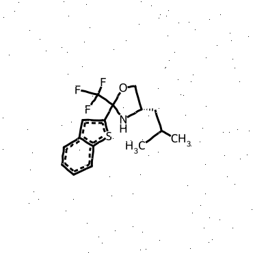 CC(C)C[C@H]1COC(c2cc3ccccc3s2)(C(F)(F)F)N1